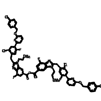 COCCn1c(Cc2cc(F)c(-c3cccc(OCc4ccc(Cl)cc4)n3)cc2Cl)nc2c(F)cc(C(=O)OC(=O)c3cc(F)c4nc(Cc5cc(F)c(-c6cccc(OCc7ccc(Cl)cc7)n6)cc5Cl)n(CCOC)c4c3)cc21